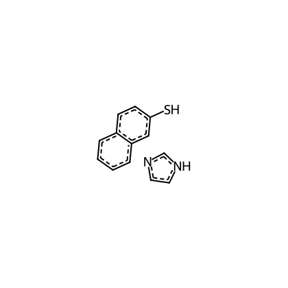 Sc1ccc2ccccc2c1.c1c[nH]cn1